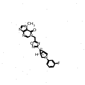 Cn1cnc2ncn(Cc3nc([C@@H]4C5=CN(c6cccc(F)c6)C[C@H]54)no3)c(=O)c21